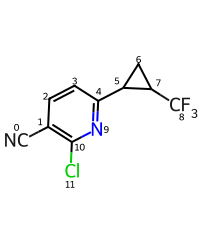 N#Cc1ccc(C2CC2C(F)(F)F)nc1Cl